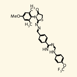 COc1cc(C)c(N2C(=O)CS/C2=N\N=C\c2ccc(C(=N)/N=C\Nc3ccc(OC(F)(F)F)cc3)cc2)c(C)c1